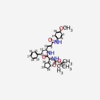 COc1ccc(NC(=O)/C=C/[C@H](CCc2ccccc2)NC(=O)[C@@H](NC(=O)OC(C)(C)C)C2CCCC2)cc1